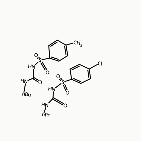 CCCCNC(=O)NS(=O)(=O)c1ccc(C)cc1.CCCNC(=O)NS(=O)(=O)c1ccc(Cl)cc1